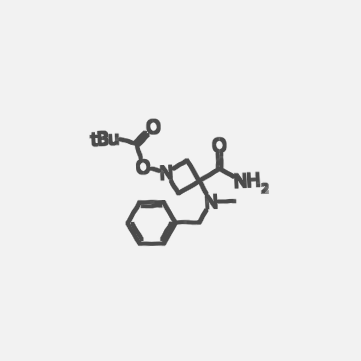 CN(Cc1ccccc1)C1(C(N)=O)CN(OC(=O)C(C)(C)C)C1